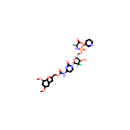 COc1cc(OC)c2oc(COC(=O)Nc3ccn([C@@H]4O[C@H](COP(=O)(N[C@@H](C)C(=O)O)Oc5cccnc5)[C@@H](O)C4(F)F)c(=O)n3)cc2c1